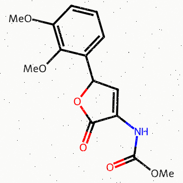 COC(=O)NC1=CC(c2cccc(OC)c2OC)OC1=O